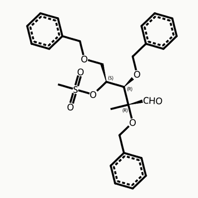 C[C@@](C=O)(OCc1ccccc1)[C@H](OCc1ccccc1)[C@H](COCc1ccccc1)OS(C)(=O)=O